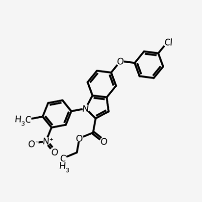 CCOC(=O)c1cc2cc(Oc3cccc(Cl)c3)ccc2n1-c1ccc(C)c([N+](=O)[O-])c1